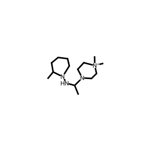 CC(NN1CCCCC1C)N1CC[N+](C)(C)CC1